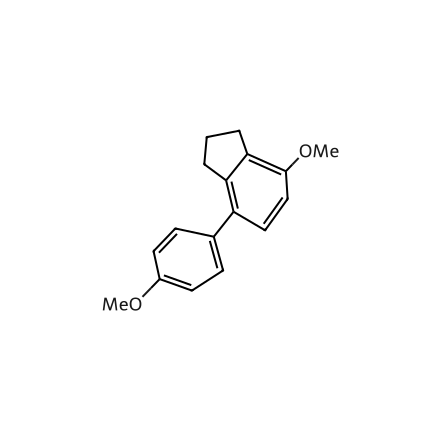 COc1ccc(-c2ccc(OC)c3c2CCC3)cc1